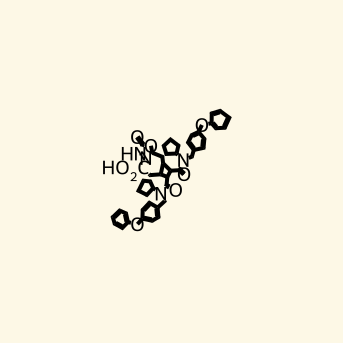 O=C(O)CC1C(Cc2n[nH]c(=O)o2)C(C(=O)N(Cc2ccc(Oc3ccccc3)cc2)C2CCCC2)C1C(=O)N(Cc1ccc(Oc2ccccc2)cc1)C1CCCC1